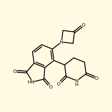 O=C1CN(c2ccc3c(c2C2CCC(=O)NC2=O)C(=O)NC3=O)C1